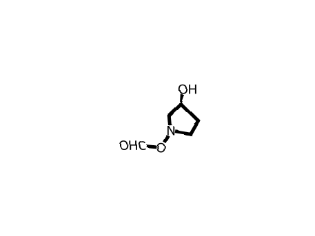 O=CON1CC[C@H](O)C1